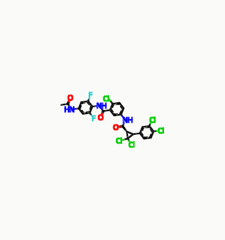 CC(=O)Nc1cc(F)c(NC(=O)c2cc(NC(=O)[C@H]3C(c4ccc(Cl)c(Cl)c4)C3(Cl)Cl)ccc2Cl)c(F)c1